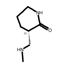 CNC[C@@H]1CCCNC1=O